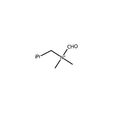 CC(C)C[N+](C)(C)C=O